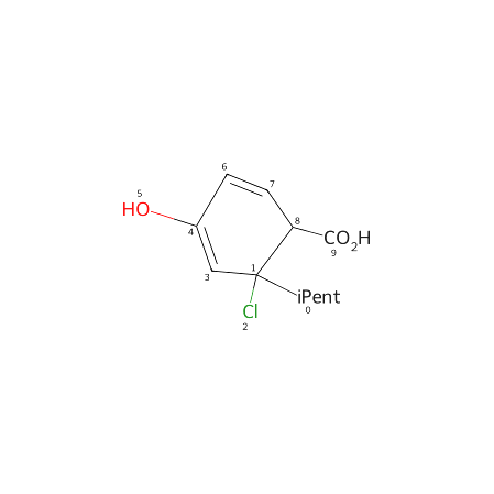 CCCC(C)C1(Cl)C=C(O)C=CC1C(=O)O